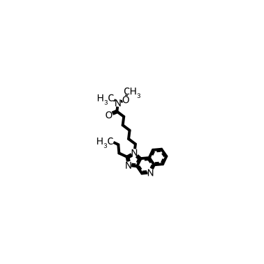 CCCc1nc2cnc3ccccc3c2n1CCCCCC(=O)N(C)OC